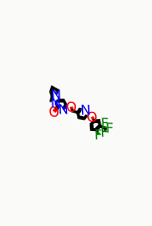 O=c1nc(OCc2ccc(Oc3ccc(F)c(C(F)(F)F)c3)nc2)cc2n1CC1CCCN21